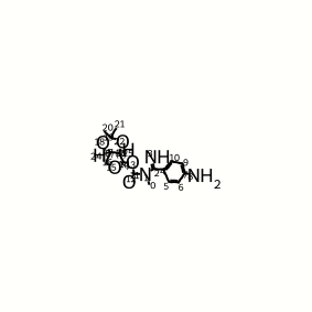 CN(C(=N)c1ccc(N)cc1)C(=O)O[C@H]1OC[C@@H]2OC(C)(C)O[C@@H]12